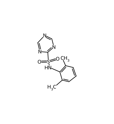 Cc1cccc(C)c1NS(=O)(=O)c1ncncn1